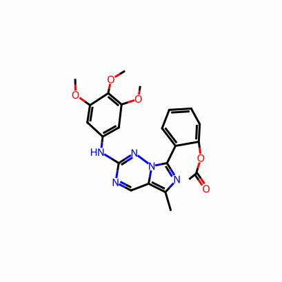 COc1cc(Nc2ncc3c(C)nc(-c4ccccc4OC(C)=O)n3n2)cc(OC)c1OC